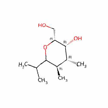 CC(C)C1O[C@H](CO)[C@H](O)[C@H](C)[C@H]1C